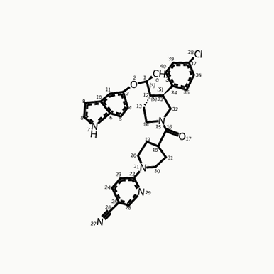 C[C@H](Oc1ccc2[nH]ccc2c1)[C@H]1CCN(C(=O)C2CCN(c3ccc(C#N)cn3)CC2)C[C@@H]1c1ccc(Cl)cc1